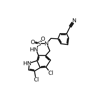 N#Cc1cccc(CN2Cc3cc(Cl)c4c(Cl)c[nH]c4c3NS2(=O)=O)c1